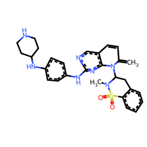 C=C1C=Cc2cnc(Nc3ccc(NC4CCNCC4)cc3)nc2N1C1Cc2ccccc2S(=O)(=O)N1C